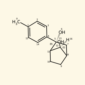 Cc1ccc([C@@]2(O)CC3CCC2[C@H]3O)cc1